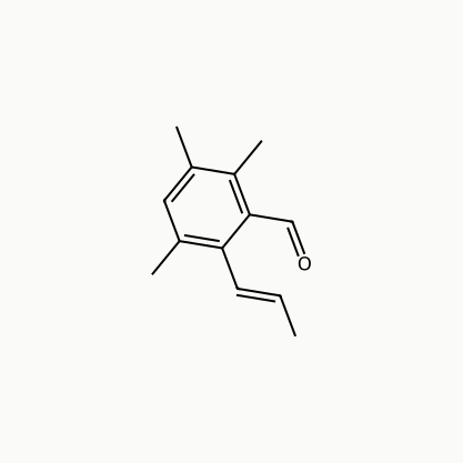 CC=Cc1c(C)cc(C)c(C)c1C=O